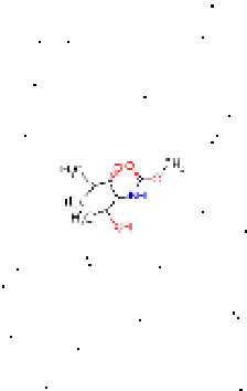 COC(=O)N[C@H](C(=O)C(C)C)C(C)O